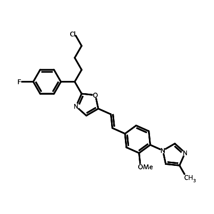 COc1cc(C=Cc2cnc(C(CCCCl)c3ccc(F)cc3)o2)ccc1-n1cnc(C)c1